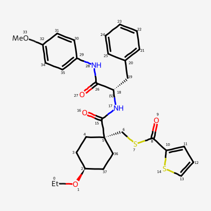 CCO[C@H]1CC[C@@](CSC(=O)c2cccs2)(C(=O)N[C@@H](Cc2ccccc2)C(=O)Nc2ccc(OC)cc2)CC1